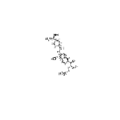 CCCN(CCC(=O)O)C(=O)c1ccc2sc(CNc3ccc(C(=N)N)cc3)nc2c1.Cl